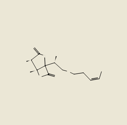 C/C=C\CCCC[C@H](O)C12NC(=O)[C@H](C)[C@@]1(C)OC2=O